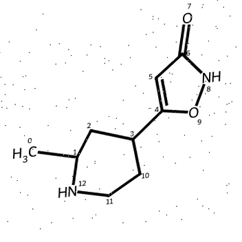 CC1CC(c2cc(=O)[nH]o2)CCN1